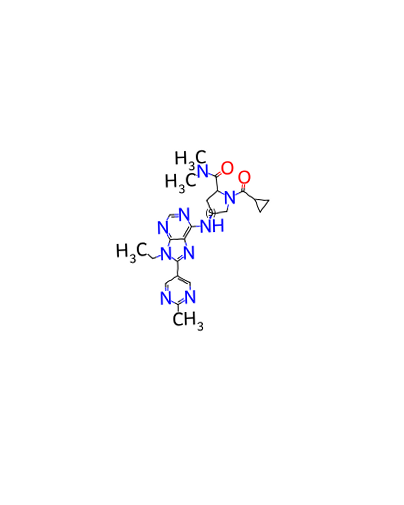 CCn1c(-c2cnc(C)nc2)nc2c(N[C@H]3CC(C(=O)N(C)C)N(C(=O)C4CC4)C3)ncnc21